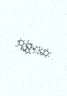 Cc1nccc(-c2c(C)nc(N3CCC4(CC3)Cc3ccccc3O4)c3ccnn23)c1Cl